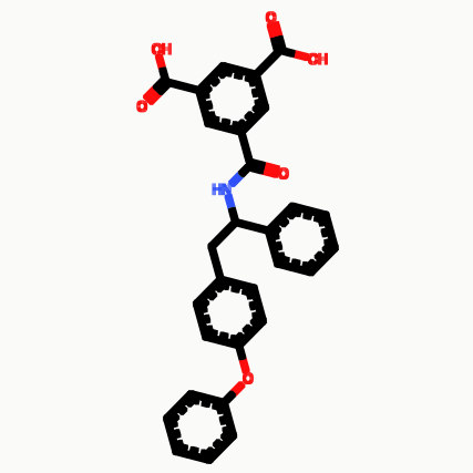 O=C(O)c1cc(C(=O)O)cc(C(=O)NC(Cc2ccc(Oc3ccccc3)cc2)c2ccccc2)c1